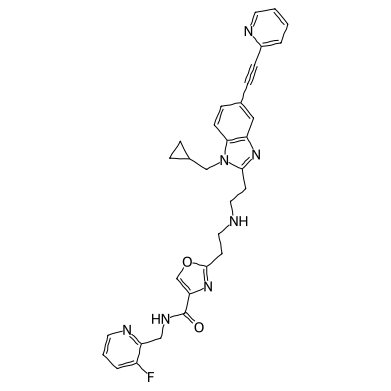 O=C(NCc1ncccc1F)c1coc(CCNCCc2nc3cc(C#Cc4ccccn4)ccc3n2CC2CC2)n1